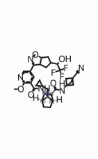 COc1ncc(C2=NOC3CC(C(O)C(F)(F)F)CC23)cc1C(=O)N[C@H]1[C@@H](C(=O)NC23CC(C#N)(C2)C3)[C@H]2CC[C@@H]1/C2=C\C1CC1